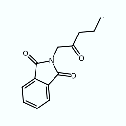 [CH2]CCC(=O)CN1C(=O)c2ccccc2C1=O